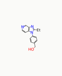 CCc1nc2cnccc2n1-c1ccc(CO)cc1